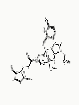 COC[C@H]1O[C@@H](n2ccc(=O)[nH]c2=O)[C@@H](CCCNC(=S)CCN2C(=O)C=CC2=O)C1OP(=O)(O)OC